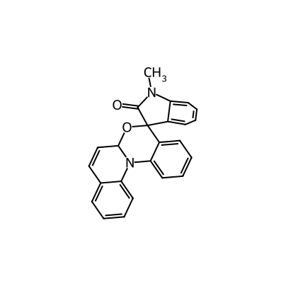 CN1C(=O)C2(OC3C=Cc4ccccc4N3c3ccccc32)c2ccccc21